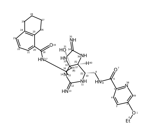 CCOc1ccc(C(=O)NC[C@@H]2NC(=N)N3CC(NC(=O)c4cccc5c4CCCC5)[C@@H](O)C34NC(=N)N[C@@H]24)nc1